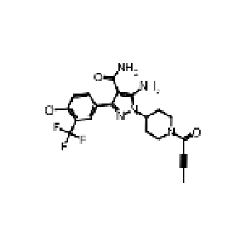 CC#CC(=O)N1CCC(n2nc(-c3ccc(Cl)c(C(F)(F)F)c3)c(C(N)=O)c2N)CC1